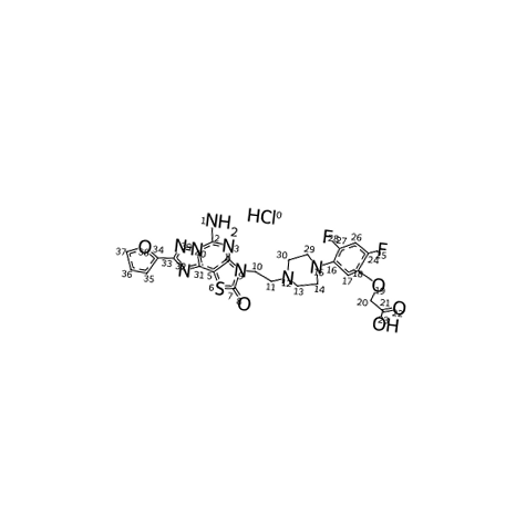 Cl.Nc1nc2c(sc(=O)n2CCN2CCN(c3cc(OCC(=O)O)c(F)cc3F)CC2)c2nc(-c3ccco3)nn12